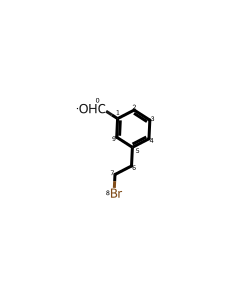 O=[C]c1cccc(CCBr)c1